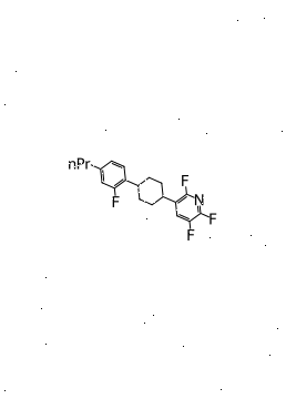 CCCc1ccc(C2CCC(c3cc(F)c(F)nc3F)CC2)c(F)c1